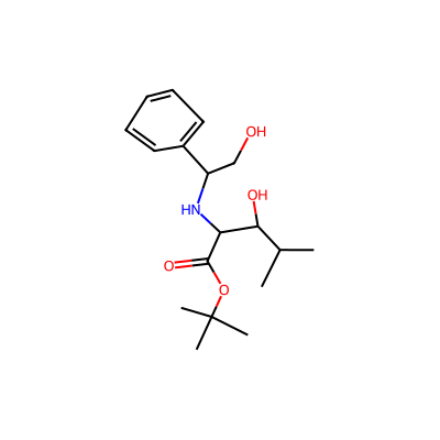 CC(C)C(O)C(NC(CO)c1ccccc1)C(=O)OC(C)(C)C